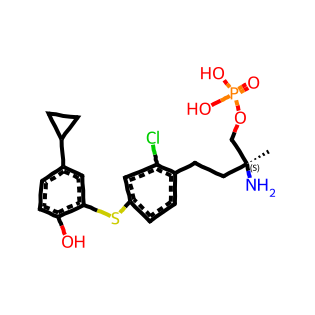 C[C@](N)(CCc1ccc(Sc2cc(C3CC3)ccc2O)cc1Cl)COP(=O)(O)O